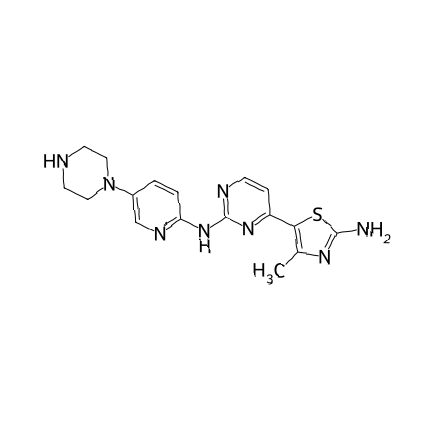 Cc1nc(N)sc1-c1ccnc(Nc2ccc(N3CCNCC3)cn2)n1